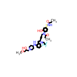 CCC(=O)NSc1ccc(N(CC#Cc2cc3c(NC4CCN(CC(O)COC)CC4)cccc3n2CC(F)(F)F)C(=O)CC)c(O)c1